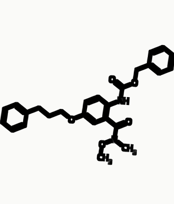 CON(C)C(=O)c1cc(OCCCc2ccccc2)ccc1NC(=O)OCc1ccccc1